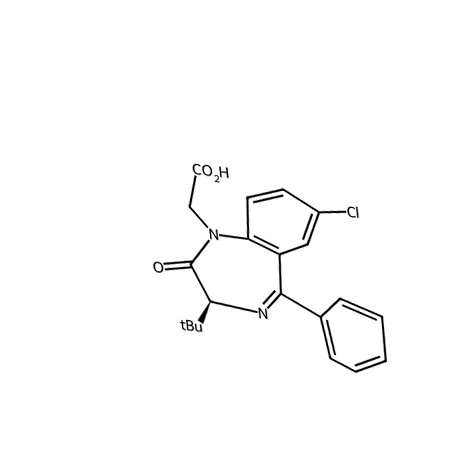 CC(C)(C)[C@@H]1N=C(c2ccccc2)c2cc(Cl)ccc2N(CC(=O)O)C1=O